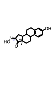 C[C@]12CCC3c4ccc(O)cc4CCC3C1C/C(=N/O)C2=O